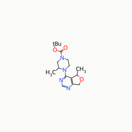 CC1OCc2ncnc(N3CCN(C(=O)OC(C)(C)C)CC3C)c21